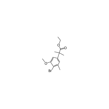 CCOC(=O)C(C)(C)c1cc(C)c(Br)c(OC)c1